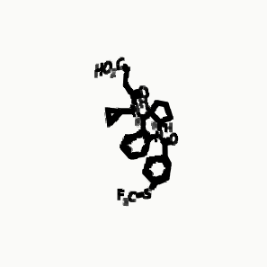 O=C(O)CCC(=O)N(C1CC1)[C@H]1c2ccccc2N(C(=O)c2ccc(SC(F)(F)F)cc2)[C@H]2CCC[C@H]21